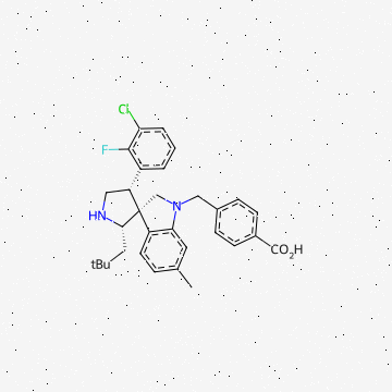 Cc1ccc2c(c1)N(Cc1ccc(C(=O)O)cc1)C[C@@]21[C@H](CC(C)(C)C)NC[C@@H]1c1cccc(Cl)c1F